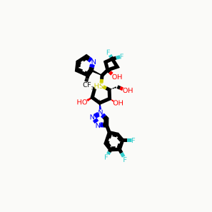 OC[C@@H]1[C@H](O)[C@@H](n2cc(-c3cc(F)c(F)c(F)c3)nn2)[C@@H](O)C[SH]1[C@@H](c1ncccc1C(F)(F)F)C1(O)CC(F)(F)C1